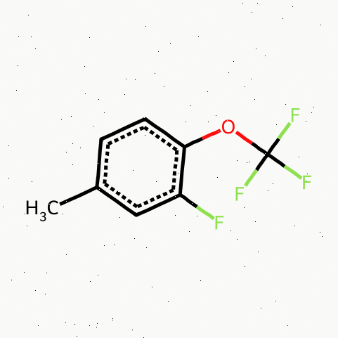 Cc1ccc(OC(F)(F)F)c(F)c1